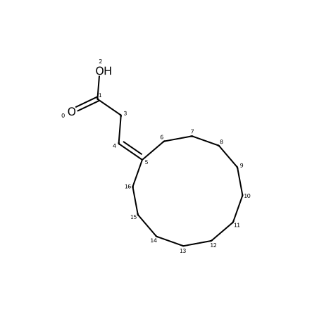 O=C(O)CC=C1CCCCCCCCCCC1